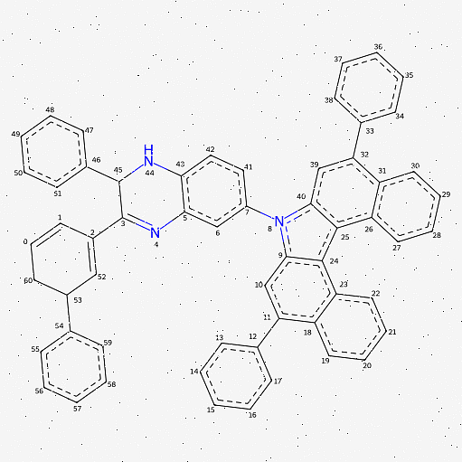 C1=CC(C2=Nc3cc(-n4c5cc(-c6ccccc6)c6ccccc6c5c5c6ccccc6c(-c6ccccc6)cc54)ccc3NC2c2ccccc2)=CC(c2ccccc2)C1